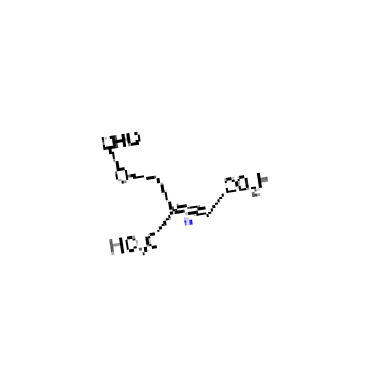 O=COC/C(=C\C(=O)O)C(=O)O